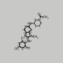 CC(=O)N1CCC[C@@H](Nc2ncc3nc(Nc4c(F)cc(Cl)cc4Cl)n(C)c3n2)C1